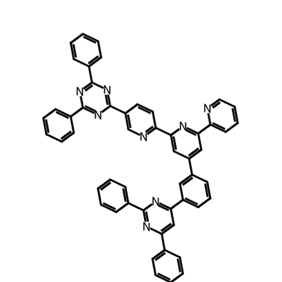 c1ccc(-c2cc(-c3cccc(-c4cc(-c5ccccn5)nc(-c5ccc(-c6nc(-c7ccccc7)nc(-c7ccccc7)n6)cn5)c4)c3)nc(-c3ccccc3)n2)cc1